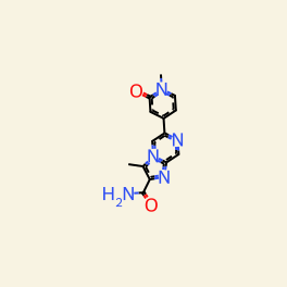 Cc1c(C(N)=O)nc2cnc(-c3ccn(C)c(=O)c3)cn12